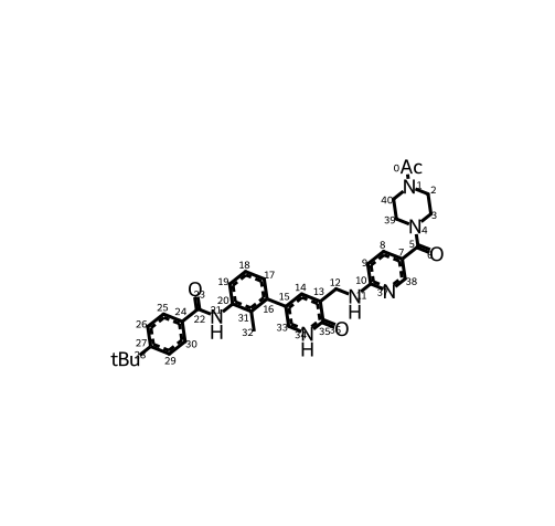 CC(=O)N1CCN(C(=O)c2ccc(NCc3cc(-c4cccc(NC(=O)c5ccc(C(C)(C)C)cc5)c4C)c[nH]c3=O)nc2)CC1